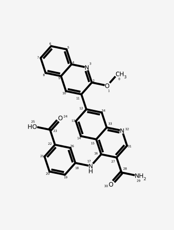 COc1nc2ccccc2cc1-c1ccc2c(Nc3cccc(C(=O)O)c3)c(C(N)=O)cnc2c1